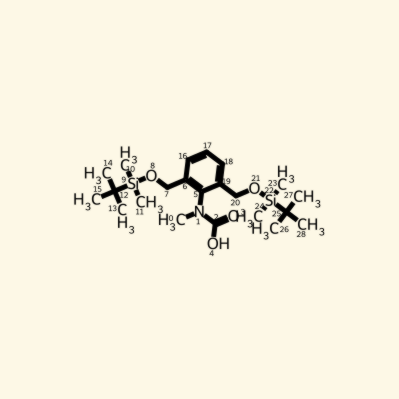 CN(C(=O)O)c1c(CO[Si](C)(C)C(C)(C)C)cccc1CO[Si](C)(C)C(C)(C)C